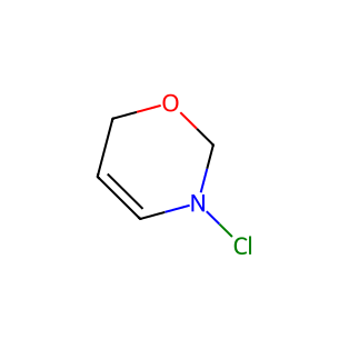 ClN1C=CCOC1